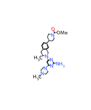 COC(=O)N1CCC(c2ccc3c(c2)CN(c2cc(N4CCN(C)CC4)nc(N)n2)C(C)C3)CC1